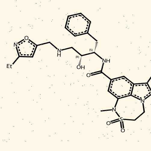 CCc1cc(CNC[C@@H](O)[C@H](Cc2ccccc2)NC(=O)c2cc3c4c(c2)c(CC)cn4CCS(=O)(=O)N3C)on1